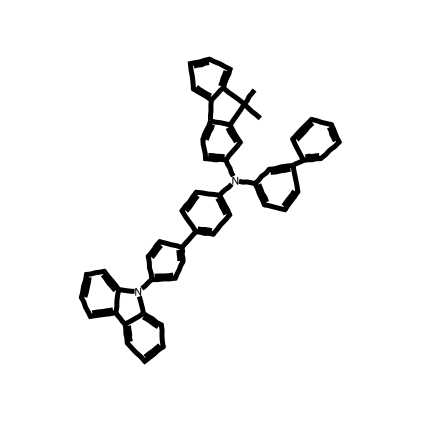 CC1(C)c2ccccc2-c2ccc(N(c3ccc(-c4ccc(-n5c6ccccc6c6ccccc65)cc4)cc3)c3cccc(-c4ccccc4)c3)cc21